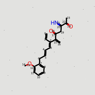 C=C/C(=C\C=C\Cc1ccccc1OC)C(=C)C(=O)CC(=N)C(C)=O